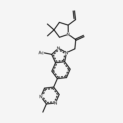 C=CC1CC(C)(C)CN1C(=C)Cn1nc(C(C)=O)c2cc(-c3cnc(C)nc3)ccc21